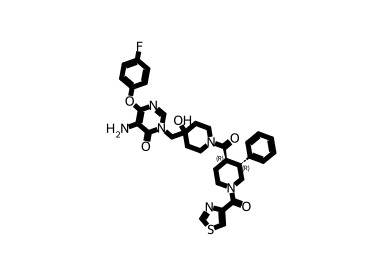 Nc1c(Oc2ccc(F)cc2)ncn(CC2(O)CCN(C(=O)[C@@H]3CCN(C(=O)c4cscn4)C[C@H]3c3ccccc3)CC2)c1=O